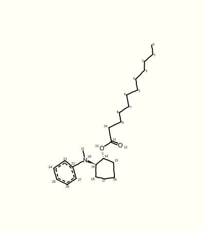 CCCCCCCCCCCC(=O)O[C@@H]1CCCC[C@H]1N(C)c1ccccc1